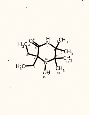 CCC1(CC)C(=O)NC(C)(C)C(C)(C)N1O